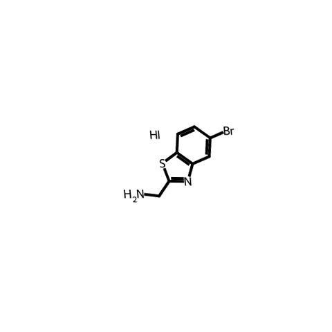 I.NCc1nc2cc(Br)ccc2s1